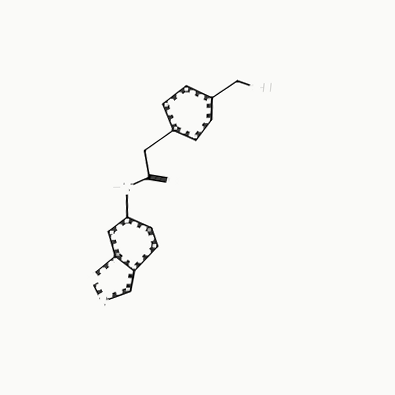 O=C(Cc1ccc(CO)cc1)Nc1ccc2cnsc2c1